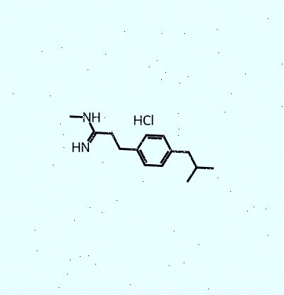 CNC(=N)CCc1ccc(CC(C)C)cc1.Cl